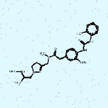 COc1cc(CC(=O)N(C)CC2=NN(CC(NC=O)C(=O)O)CC2)ccc1NC(=O)Nc1ccccc1C